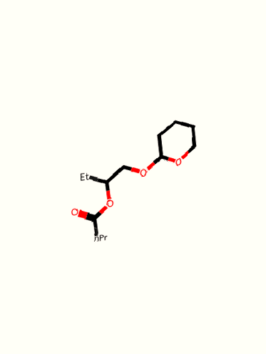 CCCC(=O)OC(CC)COC1CCCCO1